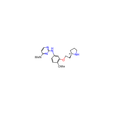 CNc1ccnc(Nc2ccc(OC)c(OCC[C@H]3CCCN3)c2)n1